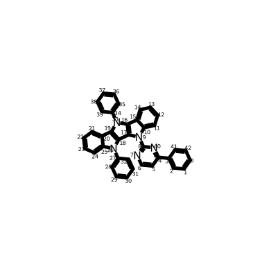 c1ccc(-c2ccnc(-n3c4ccccc4c4c3c3c(c5ccccc5n3-c3ccccc3)n4-c3ccccc3)n2)cc1